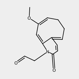 COC1=C\CC\C=c2/ccc(=O)n(CC=O)/c2=C/1